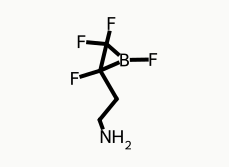 NCCC1(F)B(F)C1(F)F